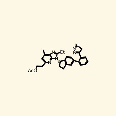 CCc1nc2c(C)cc(CCOC(C)=O)nc2n1[C@H]1CCc2cc(-c3ccccc3C3=NN=NC3)ccc21